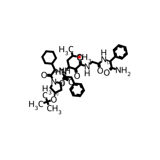 CC(C)CC(NC(=O)[C@@H]1C[C@@H](OC(C)(C)C)CN1C(=O)[C@@H](NC(=O)Cc1ccccc1)C1CCCCC1)C(=O)C(=O)NCC(=O)N[C@H](C(N)=O)c1ccccc1